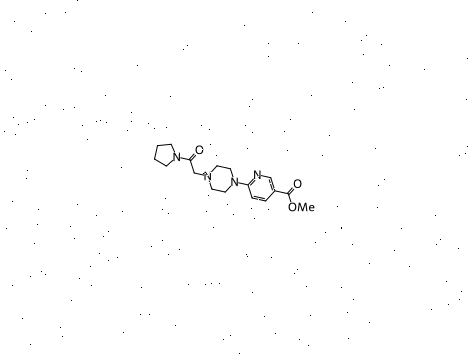 COC(=O)c1ccc(N2CCN(CC(=O)N3CCCC3)CC2)nc1